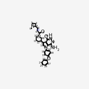 CN1CCC1/C=C/C(=O)N1CCCC(c2cn(-c3ccc(Oc4ccccc4)cc3)c3c(N)n[nH]c(=O)c23)C1